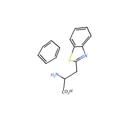 NC(Cc1nc2ccccc2s1)C(=O)O.c1ccccc1